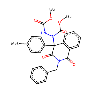 CSc1ccc(C2(N(NC(=O)OC(C)(C)C)C(=O)OC(C)(C)C)C(=O)N(Cc3ccccc3)C(=O)c3ccccc32)cc1